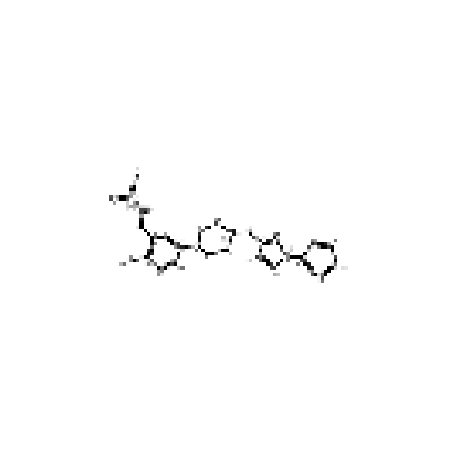 O=[SH](=O)NCc1cc(C2CCN(Cc3cn(-c4ccccc4)nn3)CC2)ccc1F